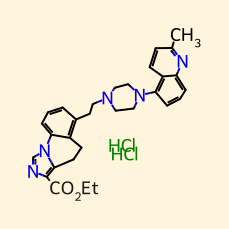 CCOC(=O)c1ncn2c1CCc1c(CCN3CCN(c4cccc5nc(C)ccc45)CC3)cccc1-2.Cl.Cl